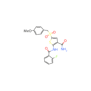 COc1ccc(CS(=O)(=O)c2cc(C(N)=O)c(NC(=O)c3ccccc3F)s2)cc1